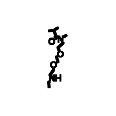 CCNCCOCCOCCN(C)C(=O)C(C)C